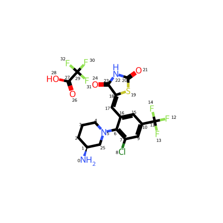 N[C@H]1CCCN(c2c(Cl)cc(C(F)(F)F)cc2/C=C2\SC(=O)NC2=O)C1.O=C(O)C(F)(F)F